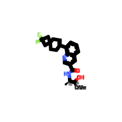 CO[C@H](O)[C@H](C)NC(=O)c1cnc2c(C3=CCC4(CC3)CC(F)(F)C4)cccc2c1